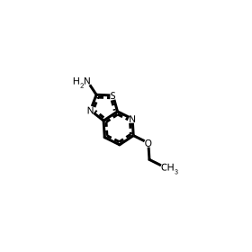 CCOc1ccc2nc(N)sc2n1